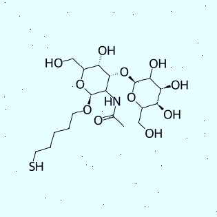 CC(=O)NC1[C@@H](OCCCCCS)OC(CO)[C@H](O)[C@@H]1O[C@@H]1OC(CO)[C@H](O)[C@H](O)C1O